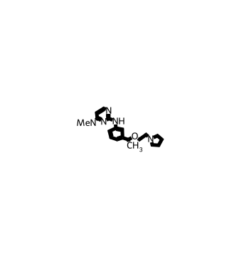 CNc1ccnc(Nc2cccc(C(C)OCCN3CCCC3)c2)n1